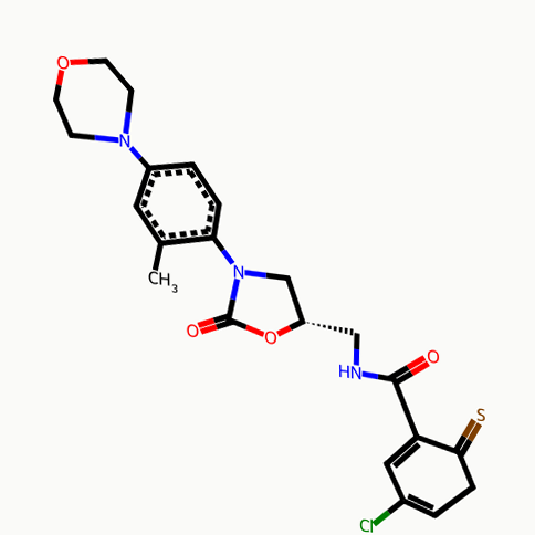 Cc1cc(N2CCOCC2)ccc1N1C[C@H](CNC(=O)C2=CC(Cl)=CCC2=S)OC1=O